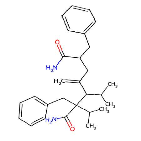 C=C(CC(Cc1ccccc1)C(N)=O)C(C(C)C)C(Cc1ccccc1)(C(N)=O)C(C)C